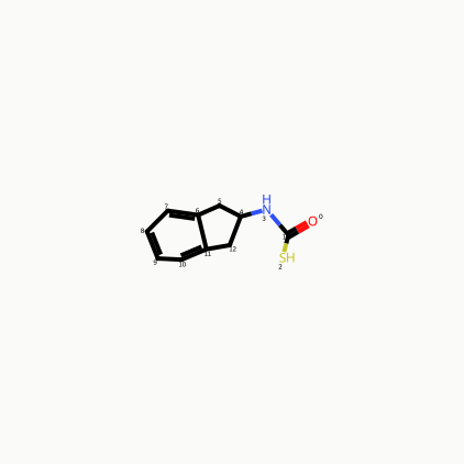 O=C(S)NC1Cc2ccccc2C1